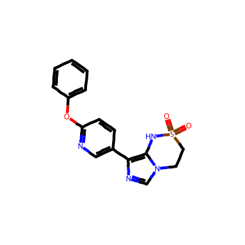 O=S1(=O)CCn2cnc(-c3ccc(Oc4ccccc4)nc3)c2N1